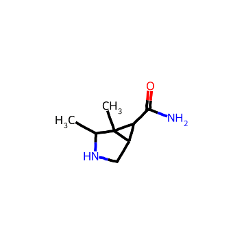 CC1NCC2C(C(N)=O)C12C